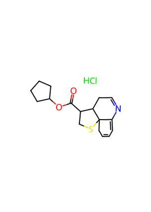 Cl.O=C(OC1CCCC1)C1CSC23CC=CC=C2N=CCC13